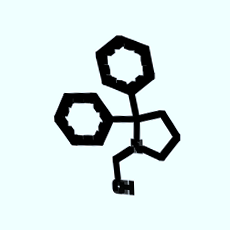 OCN1CCCC1(c1ccccc1)c1ccccc1